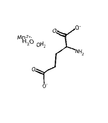 NC(CCC(=O)[O-])C(=O)[O-].O.O.[Mn+2]